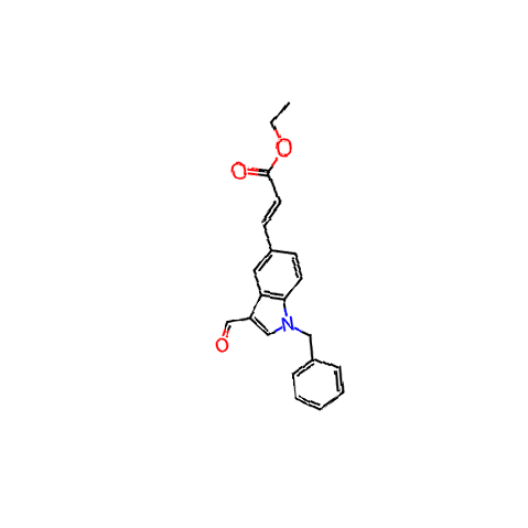 CCOC(=O)/C=C/c1ccc2c(c1)c(C=O)cn2Cc1ccccc1